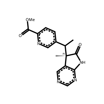 COC(=O)c1ccc(C(C)[C@@]2(C)C(=O)Nc3ncncc32)cn1